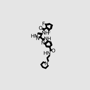 O=C(NCCCN1CCCCC1)c1ccc2[nH]c(-c3n[nH]cc3NC(=O)c3c(F)cccc3F)nc2c1